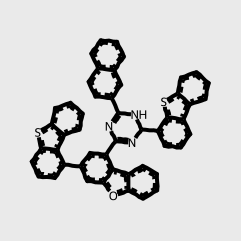 c1ccc2cc(C3=NC(c4cc(-c5cccc6sc7ccccc7c56)cc5oc6ccccc6c45)=NC(c4cccc5c4sc4ccccc45)N3)ccc2c1